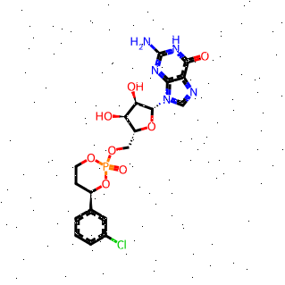 Nc1nc2c(ncn2[C@@H]2O[C@H](COP3(=O)OCC[C@H](c4cccc(Cl)c4)O3)[C@@H](O)[C@H]2O)c(=O)[nH]1